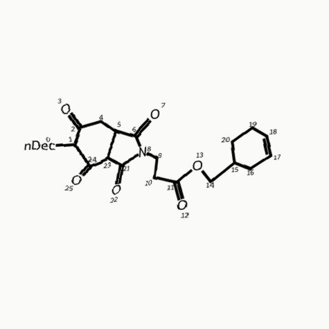 CCCCCCCCCCC1C(=O)CC2C(=O)N(CCC(=O)OCC3CC=CCC3)C(=O)C2C1=O